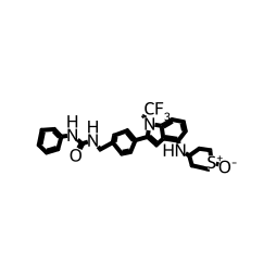 O=C(NCc1ccc(-c2cc3c(NC4CC[S+]([O-])CC4)cccc3n2CC(F)(F)F)cc1)Nc1ccccc1